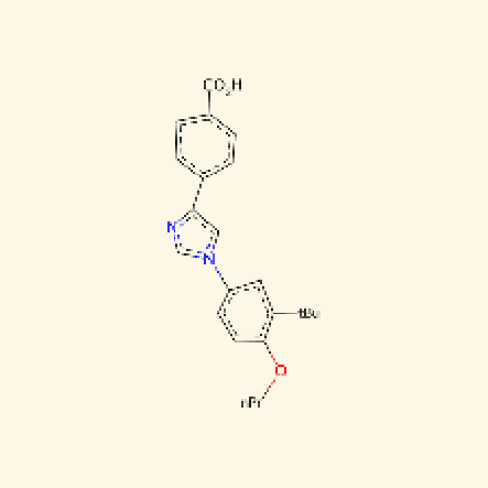 CCCOc1ccc(-n2cnc(-c3ccc(C(=O)O)cc3)c2)cc1C(C)(C)C